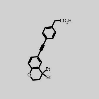 CCC1(CC)CCOc2ccc(C#Cc3ccc(CC(=O)O)cc3)cc21